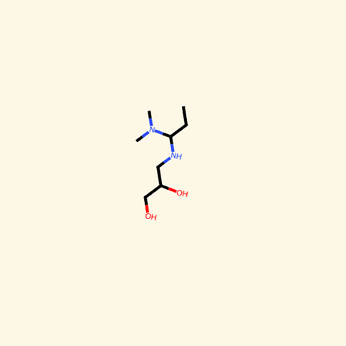 CCC(NCC(O)CO)N(C)C